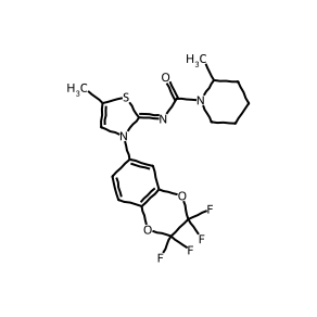 Cc1cn(-c2ccc3c(c2)OC(F)(F)C(F)(F)O3)/c(=N/C(=O)N2CCCCC2C)s1